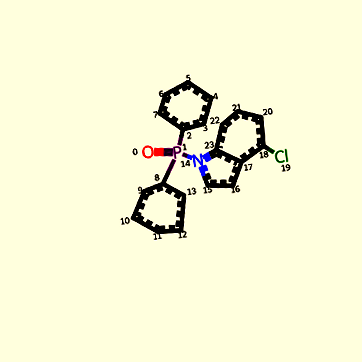 O=P(c1ccccc1)(c1ccccc1)n1ccc2c(Cl)cccc21